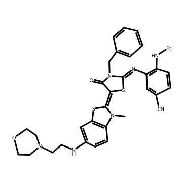 CCNc1ccc(C#N)cc1N=C1SC(=C2Sc3cc(NCCN4CCOCC4)ccc3N2C)C(=O)N1Cc1ccccc1